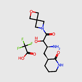 N[C@@H](C[C@@H]1CCCNC1=O)C(O)C(=O)N1CC2(COC2)C1.O=C(O)C(F)(F)F